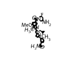 COc1cc(C(=O)N2C[C@H](N)C[C@@H](F)C2)cc2nc(-c3cc4ccc(-c5cc(C(N)=O)ccc5C)nc4n3CC3CC3)n(C)c12